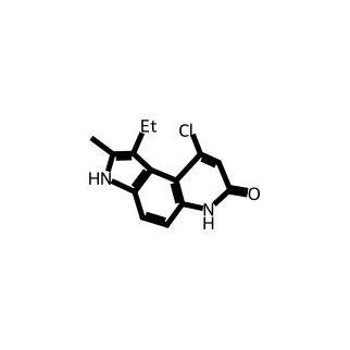 CCc1c(C)[nH]c2ccc3[nH]c(=O)cc(Cl)c3c12